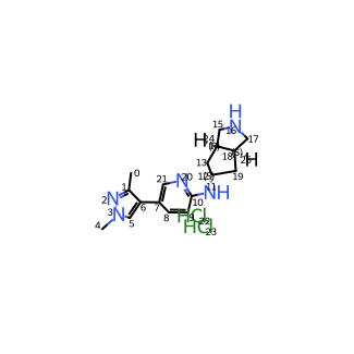 Cc1nn(C)cc1-c1ccc(N[C@@H]2C[C@H]3CNC[C@H]3C2)nc1.Cl.Cl